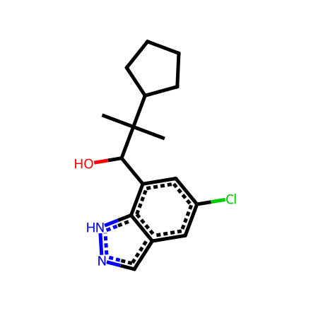 CC(C)(C1CCCC1)C(O)c1cc(Cl)cc2cn[nH]c12